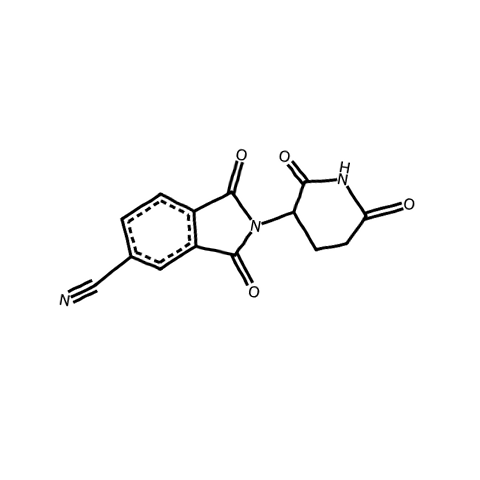 N#Cc1ccc2c(c1)C(=O)N(C1CCC(=O)NC1=O)C2=O